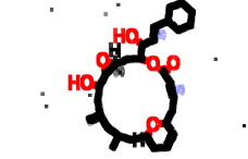 C=C1CC(C)C[C@@H]2CC=CC(C/C=C\C(=O)OC(C(O)/C=C/C3CCCCC3)C[C@@H]3OC3C(O)C1)O2